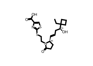 CCC1([C@@H](O)CC=C[C@H]2CCC(=O)N2CCSc2nc(C(=O)O)cs2)CCC1